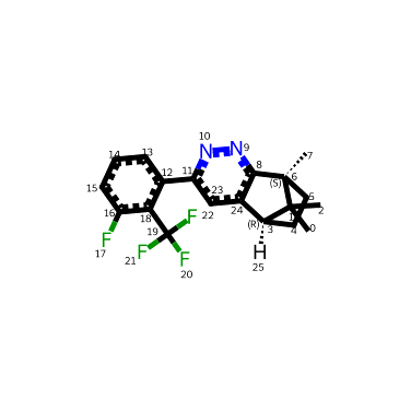 CC1(C)[C@H]2CC[C@]1(C)c1nnc(-c3cccc(F)c3C(F)(F)F)cc12